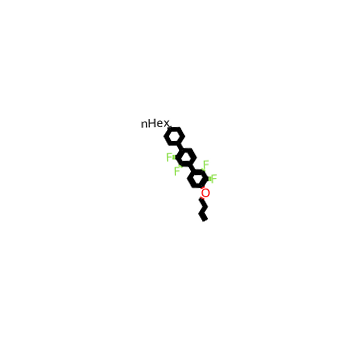 C=CCCOc1ccc(-c2ccc(C3CCC(CCCCCC)CC3)c(F)c2F)c(F)c1F